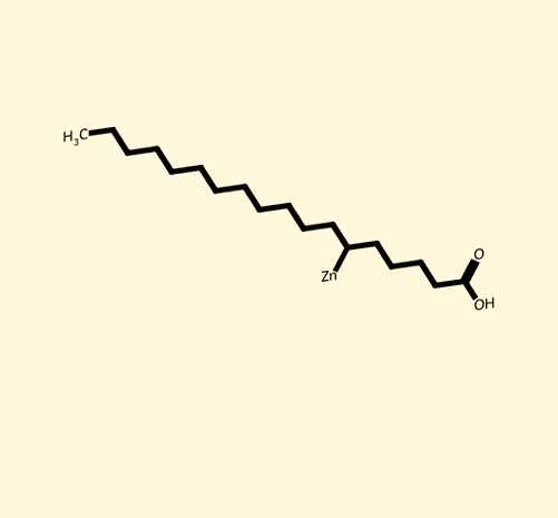 CCCCCCCCCCCC[CH]([Zn])CCCCC(=O)O